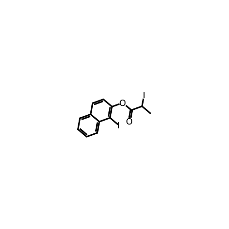 CC(I)C(=O)Oc1ccc2ccccc2c1I